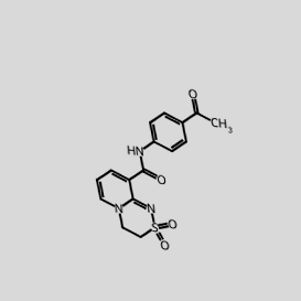 CC(=O)c1ccc(NC(=O)C2=CC=CN3CCS(=O)(=O)N=C23)cc1